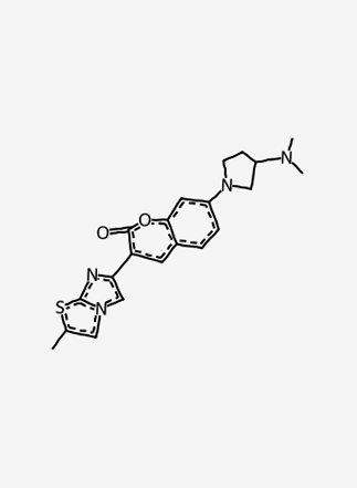 Cc1cn2cc(-c3cc4ccc(N5CCC(N(C)C)C5)cc4oc3=O)nc2s1